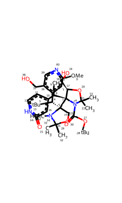 COc1cc(C(C(C)(C)C)[C@]2([C@]3(C(C)c4cc[nH]c(=O)c4)[C@@H](CO)OC(C)(C)N3C(=O)OC(C)(C)C)COC(C)(C)N2C(=O)O)c(CO)cn1